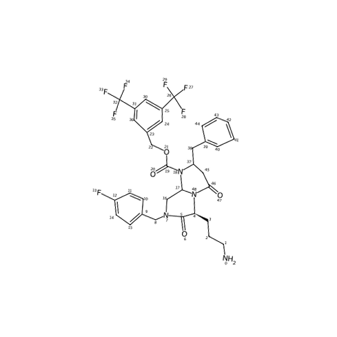 NCCC[C@H]1C(=O)N(Cc2ccc(F)cc2)CC2N(C(=O)OCc3cc(C(F)(F)F)cc(C(F)(F)F)c3)C(Cc3ccccc3)CC(=O)N21